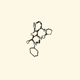 O=C1CCCN1c1ccnc2sc3c(=O)n(C4CCCCC4)cnc3c12